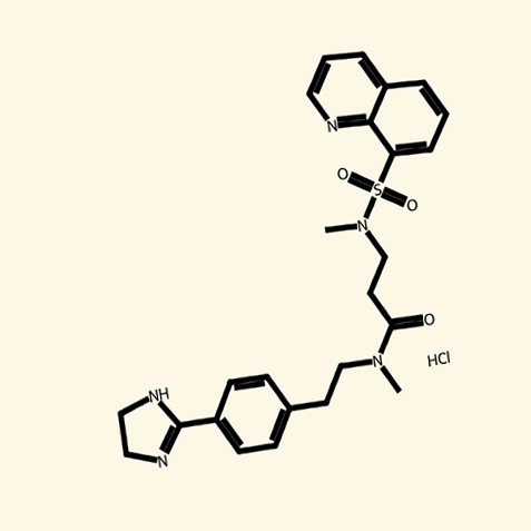 CN(CCc1ccc(C2=NCCN2)cc1)C(=O)CCN(C)S(=O)(=O)c1cccc2cccnc12.Cl